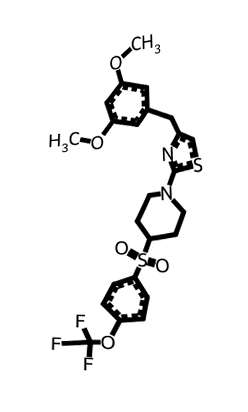 COc1cc(Cc2csc(N3CCC(S(=O)(=O)c4ccc(OC(F)(F)F)cc4)CC3)n2)cc(OC)c1